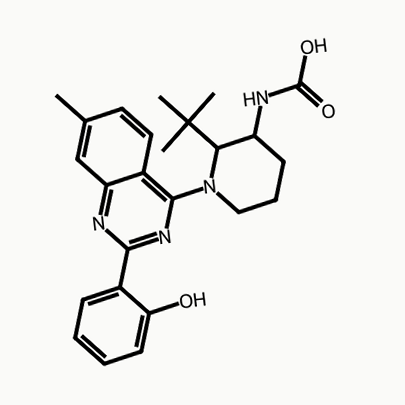 Cc1ccc2c(N3CCCC(NC(=O)O)C3C(C)(C)C)nc(-c3ccccc3O)nc2c1